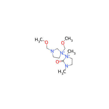 COCN1CC[N+](COC)([N+]2(C)CCN(C)C2=O)C1